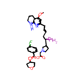 COc1cc(CCCC[C@@H](P)C2CCN([C@H](C(=O)O)c3cc(F)ccc3COC3CCOCC3)C2)nc2c1CCCN2